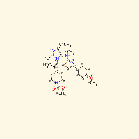 CCc1nc(C)n(/C=C(\C)C2=CCN(S(C)(=O)=O)CC2)c1N(C)c1nc(-c2ccc(OC)cc2)cs1